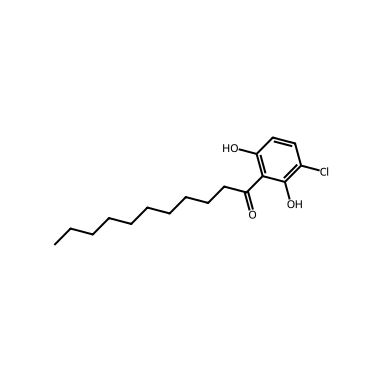 CCCCCCCCCCC(=O)c1c(O)ccc(Cl)c1O